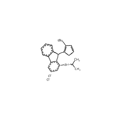 C[C](C)=[Zr+2][c]1cccc2c1C(C1=C(C(C)(C)C)C=CC1)c1ccccc1-2.[Cl-].[Cl-]